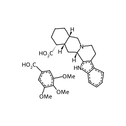 COc1cc(C(=O)O)cc(OC)c1OC.O=C(O)[C@@H]1CCC[C@@H]2CN3CCc4c([nH]c5ccccc45)[C@@H]3C[C@@H]21